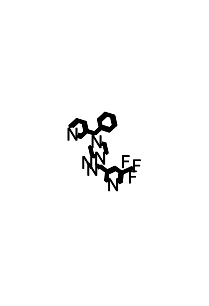 FC(F)(F)c1cncc(-c2nnc3n2CCN(C(c2ccccc2)c2cccnc2)C3)c1